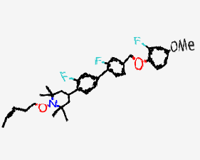 C/C=C\CCON1C(C)(C)CC(c2ccc(-c3ccc(COc4ccc(OC)cc4F)cc3F)cc2F)CC1(C)C